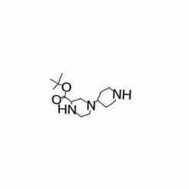 CC(C)(C)OC(=O)C1CN(C2CCNCC2)CCN1